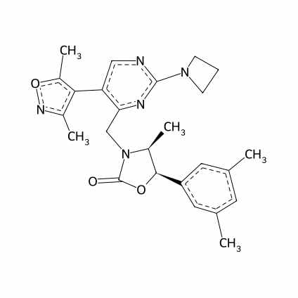 Cc1cc(C)cc([C@H]2OC(=O)N(Cc3nc(N4CCC4)ncc3-c3c(C)noc3C)[C@H]2C)c1